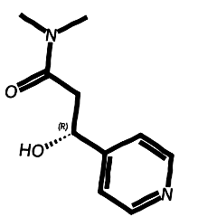 CN(C)C(=O)C[C@@H](O)c1ccncc1